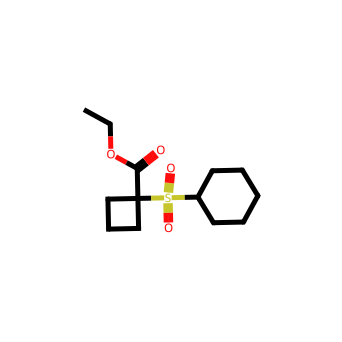 CCOC(=O)C1(S(=O)(=O)C2CCCCC2)CCC1